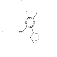 COc1ccc(F)cc1C1CCOC1